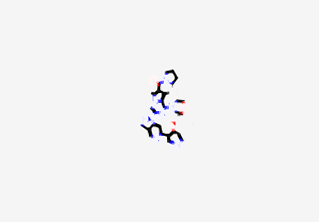 COc1ccncc1-c1cc2c(cnn2-c2cn3c(C)c(C(=O)N4CCCC4)c(C)c3c(N3CCOCC3)n2)c(C)n1